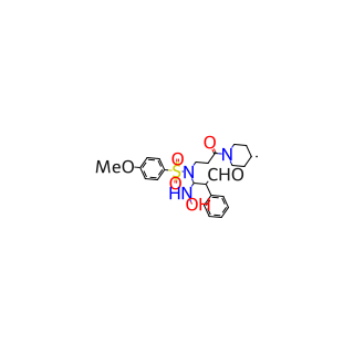 COc1ccc(S(=O)(=O)N(CCC(=O)N2CC[CH]CC2)C(NO)C(C=O)c2ccccc2)cc1